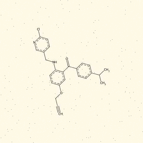 C#CCOc1ccc(NCc2ccc(Cl)nc2)c(C(=O)c2ccc(C(C)C)cc2)c1